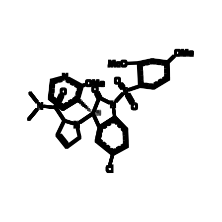 COc1ccc(S(=O)(=O)N2C(=O)[C@](c3cccnc3OC)(N3CC=CC3C(=O)N(C)C)c3cc(Cl)ccc32)c(OC)c1